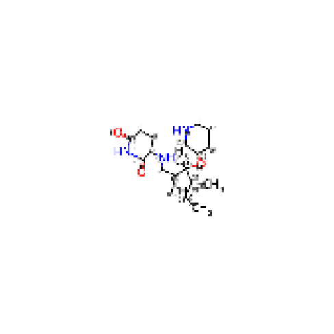 C=C(CNC1CCC(=O)NC1=O)C(C)(O[C@@H]1CCCNC1)[C@H](C)CC